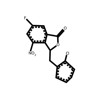 O=C1OC(Cc2ccccc2Cl)c2c1cc(F)cc2[N+](=O)[O-]